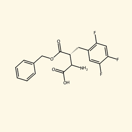 NC(C(=O)O)[C@@H](Cc1cc(F)c(F)cc1F)C(=O)OCc1ccccc1